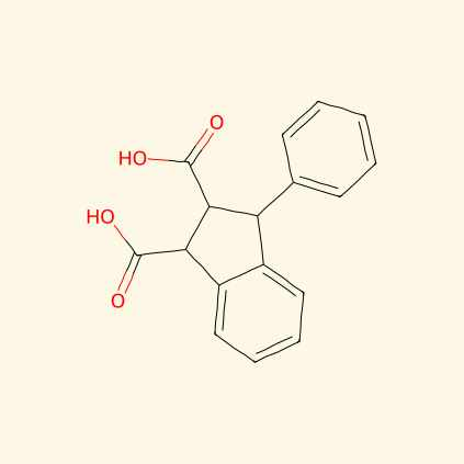 O=C(O)C1c2ccccc2C(c2ccccc2)C1C(=O)O